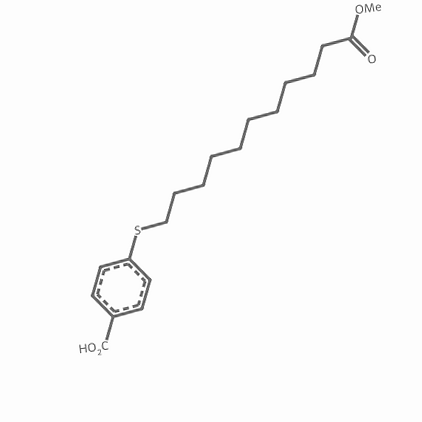 COC(=O)CCCCCCCCCCSc1ccc(C(=O)O)cc1